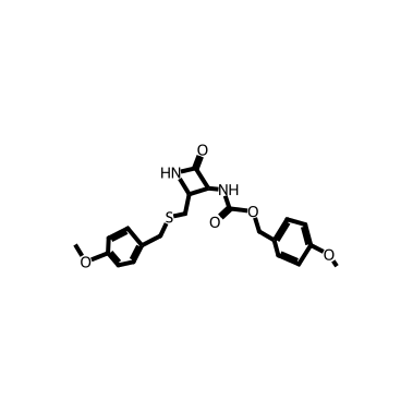 COc1ccc(COC(=O)NC2C(=O)NC2CSCc2ccc(OC)cc2)cc1